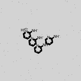 [Hf+4].[NH-]c1ccccn1.[NH-]c1ccccn1.[NH-]c1ccccn1.[NH-]c1ccccn1